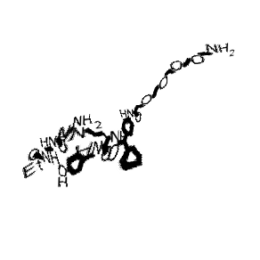 CCC(=O)NCCNC(=O)/N=C(/N)NCCC[C@@H](NC(=O)C(c1ccccc1)c1ccc(NC(=O)CCOCCOCCOCCOCCN)cc1)C(=O)NCc1ccc(O)cc1